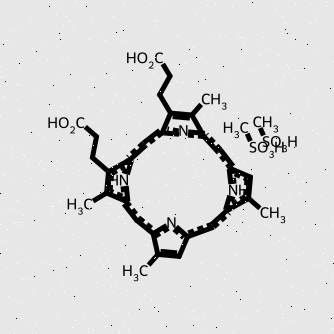 CC1=Cc2cc3[nH]c(cc4nc(cc5[nH]c(cc1n2)c(C)c5CCC(=O)O)C(CCC(=O)O)=C4C)cc3C.CS(=O)(=O)O.CS(=O)(=O)O